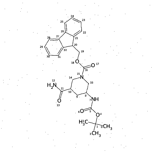 CC(C)(C)OC(=O)NC1CC(C(N)=O)CN(C(=O)OCC2c3ccccc3-c3ccccc32)C1